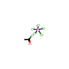 CC(=O)Cl.ClP(Cl)(Cl)(Cl)Cl